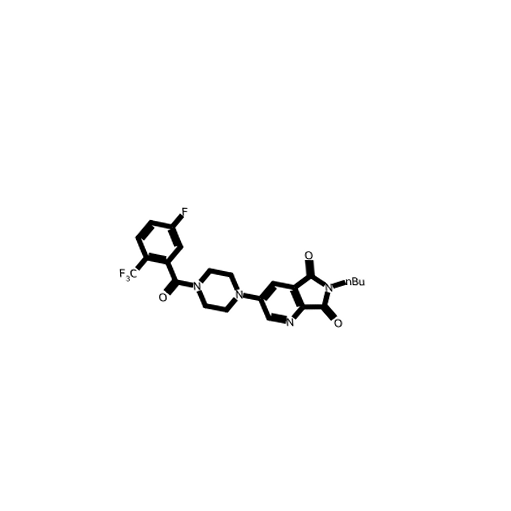 CCCCN1C(=O)c2cc(N3CCN(C(=O)c4cc(F)ccc4C(F)(F)F)CC3)cnc2C1=O